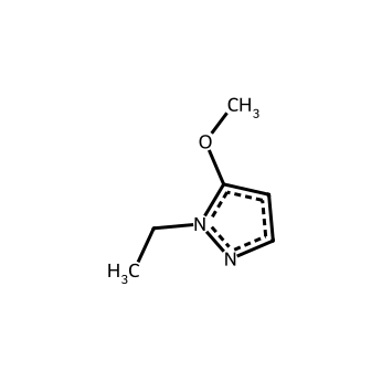 CCn1nccc1OC